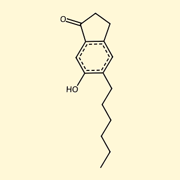 CCCCCCc1cc2c(cc1O)C(=O)CC2